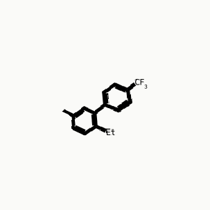 CCc1ccc(C)cc1-c1ccc(C(F)(F)F)cc1